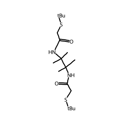 CC(C)(C)SCC(=O)NC(C)(C)C(C)(C)NC(=O)CSC(C)(C)C